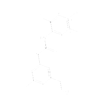 CCOC(=O)Cc1cc(C)cc(CC(=O)Nc2cc(Cl)c(Br)cc2C=O)c1